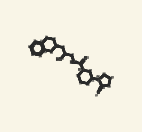 O=C(NCC(O)CN1CCc2ccccc2C1)N1CCCC(N2CCCC2=O)C1